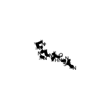 N#Cc1cnc(NC(=O)C2CN(c3cc(-n4cccn4)ncn3)C2)s1